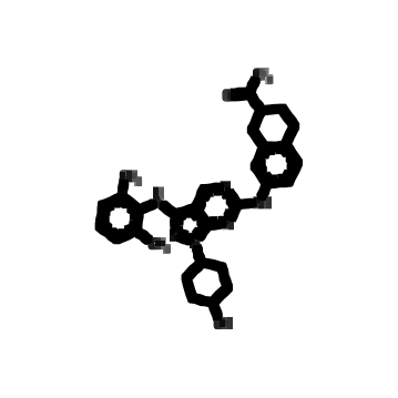 Cc1cccc(C)c1Nc1nn(C2CCC(O)CC2)c2nc(Nc3ccc4c(c3)CC(C(=O)C(F)(F)F)CC4)ncc12